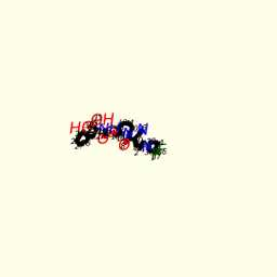 CC(C)(C=C(C#N)C(=O)N1CCCC[C@]1(C)COC(=O)N[C@@H](Cc1ccccc1)B(O)O)N1CCC(F)(F)C1